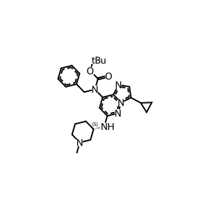 CN1CCC[C@H](Nc2cc(N(Cc3ccccc3)C(=O)OC(C)(C)C)c3ncc(C4CC4)n3n2)C1